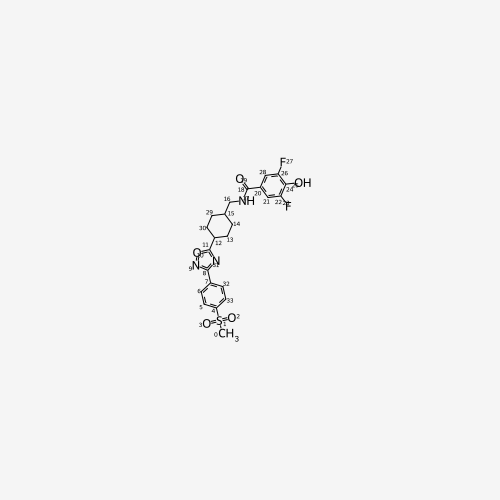 CS(=O)(=O)c1ccc(-c2noc(C3CCC(CNC(=O)c4cc(F)c(O)c(F)c4)CC3)n2)cc1